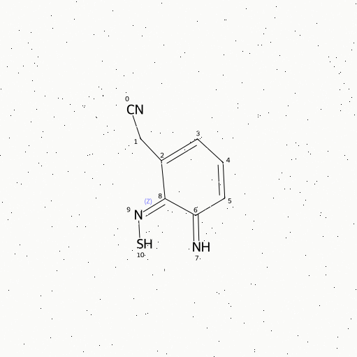 N#CCC1=CC=CC(=N)/C1=N\S